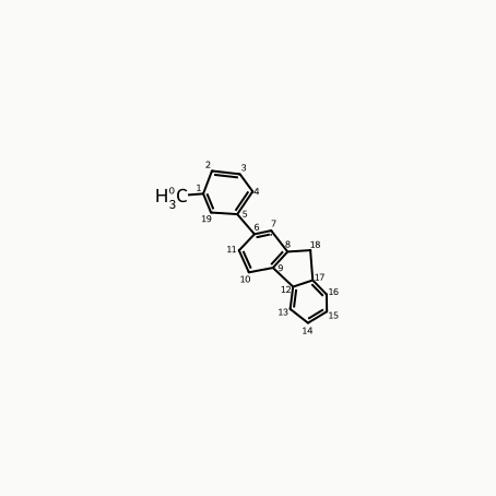 Cc1cccc(-c2[c]c3c(cc2)-c2ccccc2C3)c1